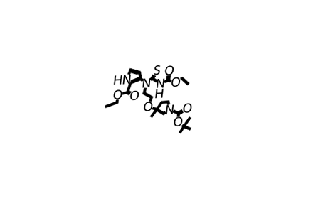 CCOC(=O)NC(=S)N(CCOC1(C)CCN(C(=O)OC(C)(C)C)C1)c1cc[nH]c1C(=O)OCC